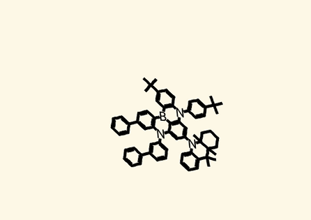 CC(C)(C)c1ccc(N2c3ccc(C(C)(C)C)cc3B3c4ccc(-c5ccccc5)cc4N(c4cccc(-c5ccccc5)c4)c4cc(N5c6ccccc6C(C)(C)C6(C)CCCCC56C)cc2c43)cc1